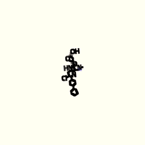 C/N=C/c1c(O[C@@H]2CO[C@H](CO)C2)[nH]c2cc(Cl)c(-c3ccc(-c4ccccc4)cc3)nc12